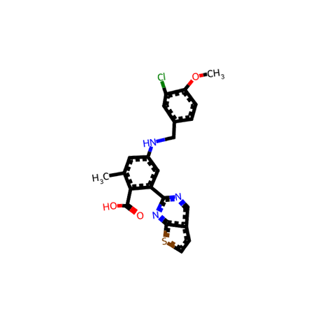 COc1ccc(CNc2cc(C)c(C(=O)O)c(-c3ncc4ccsc4n3)c2)cc1Cl